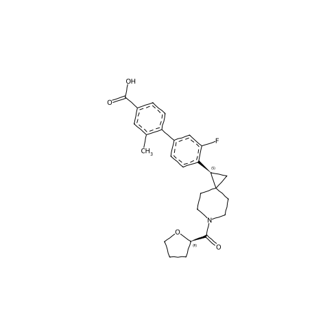 Cc1cc(C(=O)O)ccc1-c1ccc([C@H]2CC23CCN(C(=O)[C@H]2CCCO2)CC3)c(F)c1